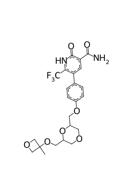 CC1(OCC2COCC(COc3ccc(-c4cc(C(N)=O)c(=O)[nH]c4C(F)(F)F)cc3)O2)COC1